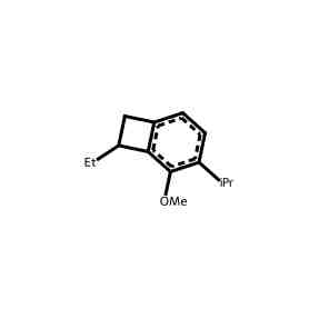 CCC1Cc2ccc(C(C)C)c(OC)c21